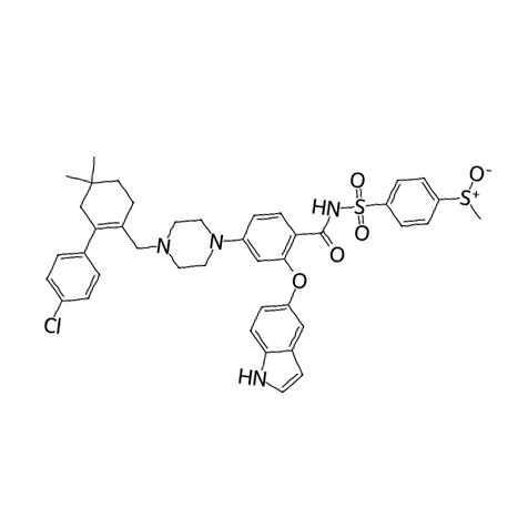 C[S+]([O-])c1ccc(S(=O)(=O)NC(=O)c2ccc(N3CCN(CC4=C(c5ccc(Cl)cc5)CC(C)(C)CC4)CC3)cc2Oc2ccc3[nH]ccc3c2)cc1